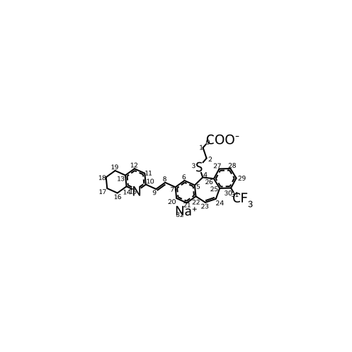 O=C([O-])CCSC1c2cc(/C=C/c3ccc4c(n3)CCCC4)ccc2C=Cc2c1cccc2C(F)(F)F.[Na+]